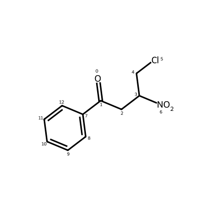 O=C(CC(CCl)[N+](=O)[O-])c1ccccc1